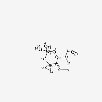 OCc1cccc2c1O[B-](O)(O)CC21CC1